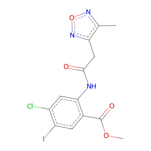 COC(=O)c1cc(I)c(Cl)cc1NC(=O)Cc1nonc1C